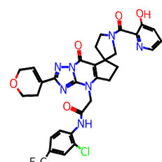 O=C(Cn1c2c(c(=O)n3nc(C4=CCOCC4)nc13)C1(CC2)CCN(C(=O)c2ncccc2O)C1)Nc1ccc(C(F)(F)F)cc1Cl